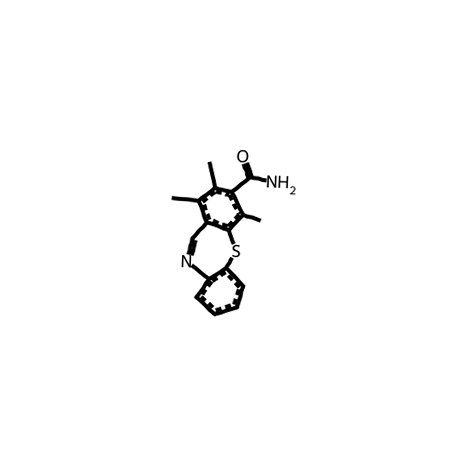 Cc1c(C)c(C(N)=O)c(C)c2c1C=Nc1ccccc1S2